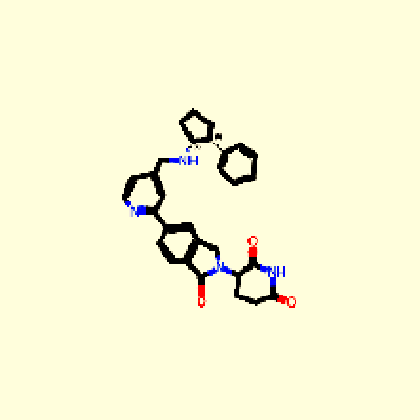 O=C1CCC(N2Cc3cc(-c4cc(CN[C@@H]5CCC[C@@H]5c5ccccc5)ccn4)ccc3C2=O)C(=O)N1